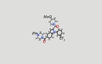 COC1CCN(C(=O)c2cc3cc(C(=O)N4CCN(C(C)C)CC4)ccc3n2-c2cccc(C(F)(F)F)c2)CC1